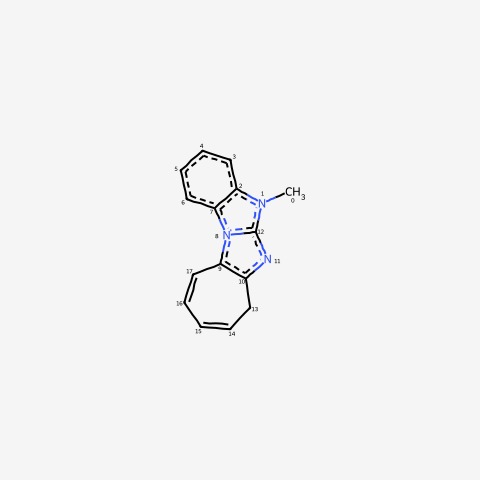 Cn1c2ccccc2n2c3c(nc12)CC=CC=C3